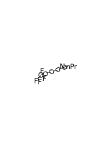 CCCc1ccc(-c2ccc(-c3ccc(-c4cc(F)c(O/C=C/C(F)F)c(F)c4)cc3)cc2)nc1